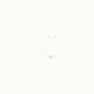 CC(=O)NOS(=O)(=O)ONC(C)=O